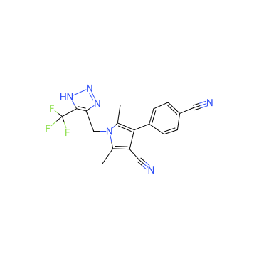 Cc1c(C#N)c(-c2ccc(C#N)cc2)c(C)n1Cc1nn[nH]c1C(F)(F)F